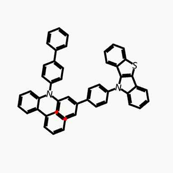 c1ccc(-c2ccc(N(c3cccc(-c4ccc(-n5c6ccccc6c6sc7ccccc7c65)cc4)c3)c3ccccc3-c3ccccc3)cc2)cc1